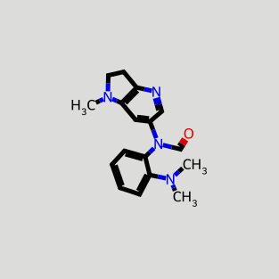 CN(C)c1ccccc1N(C=O)c1cnc2c(c1)N(C)CC2